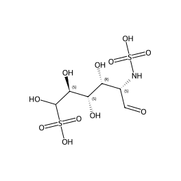 O=C[C@@H](NS(=O)(=O)O)[C@@H](O)[C@H](O)[C@H](O)C(O)S(=O)(=O)O